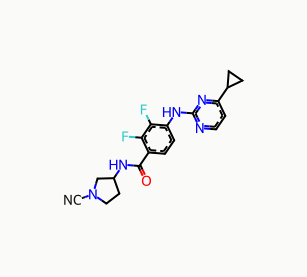 N#CN1CCC(NC(=O)c2ccc(Nc3nccc(C4CC4)n3)c(F)c2F)C1